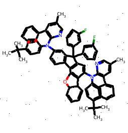 Cc1cnc(N(c2ccc(C(C)(C)C)cc2)c2ccc3c(c2)C(c2cccc(F)c2)(c2cccc(F)c2)c2cc(N(c4ccc(C(C)(C)C)cc4)c4ncc(C)cc4-c4ccccc4)c4c(c2-3)OC2C=CC=CC42)c(-c2ccccc2)c1